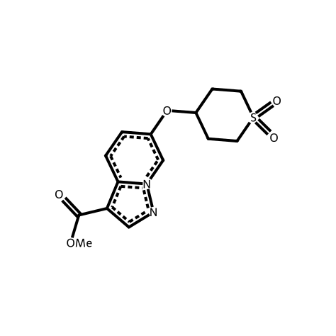 COC(=O)c1cnn2cc(OC3CCS(=O)(=O)CC3)ccc12